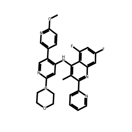 COc1ccc(-c2cnc(N3CCOCC3)cc2Nc2c(C)c(-c3ccccn3)nc3cc(F)cc(F)c23)cn1